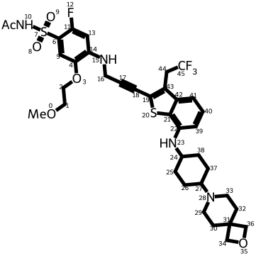 COCCOc1cc(S(=O)(=O)NC(C)=O)c(F)cc1NCC#Cc1sc2c(NC3CCC(N4CCC5(CC4)COC5)CC3)cccc2c1CC(F)(F)F